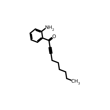 CCCCCCC#CC(=O)c1ccccc1N